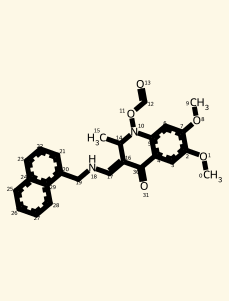 COc1cc2c(cc1OC)N(OC=O)C(C)C(=CNCc1cccc3ccccc13)C2=O